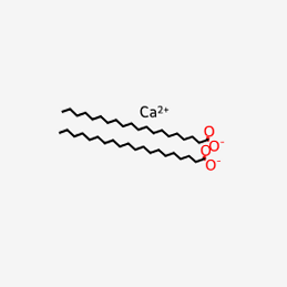 CCCCCCCCCCCCCCCCCCCC(=O)[O-].CCCCCCCCCCCCCCCCCCCC(=O)[O-].[Ca+2]